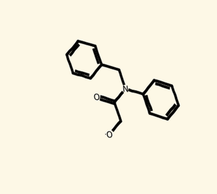 [O]CC(=O)N(Cc1ccccc1)c1ccccc1